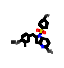 Cc1cc(Cc2cc3nc(C(F)(F)F)ccc3n2S(=O)(=O)c2ccc(C(C)C)cc2)ccc1C(=O)O